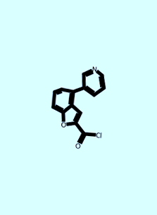 O=C(Cl)c1cc2c(-c3cccnc3)cccc2o1